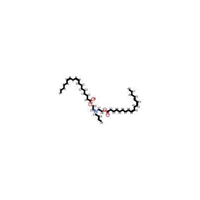 CCCCC/C=C\C/C=C\CCCCCCCC(=O)OCCN(CCCC)CCOC(=O)CCCCCCC/C=C\C/C=C\CCCCC